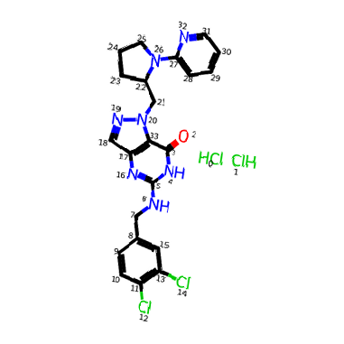 Cl.Cl.O=c1[nH]c(NCc2ccc(Cl)c(Cl)c2)nc2cnn(CC3CCCN3c3ccccn3)c12